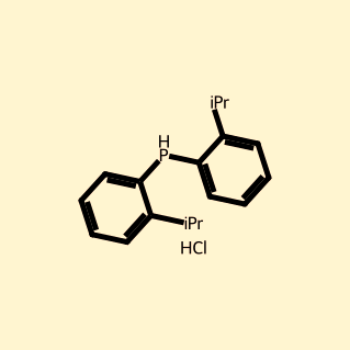 CC(C)c1ccccc1Pc1ccccc1C(C)C.Cl